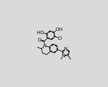 Cc1cnc(-c2ccc3c(c2)CCC(C)N3C(=O)c2cc(Cl)c(O)cc2O)n1C